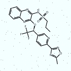 CCCS(=O)(=O)Nc1nc2ccccc2nc1O[C@@H](c1ccc(-c2noc(C)n2)nc1)C(F)(F)F